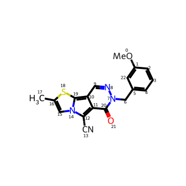 COc1cccc(Cn2ncc3c(c(C#N)n4cc(C)sc34)c2=O)c1